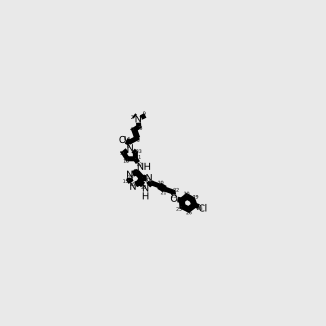 CN(C)CC=CC(=O)N1CCC(Nc2ncnc3[nH]c(C#CCOc4ccc(Cl)cc4)nc23)C1